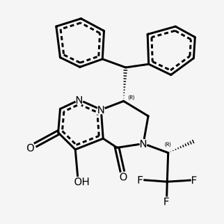 C[C@@H](N1C[C@@H](C(c2ccccc2)c2ccccc2)n2ncc(=O)c(O)c2C1=O)C(F)(F)F